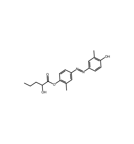 CCCC(O)C(=O)Oc1ccc(N=Nc2ccc(O)c(C)c2)cc1C